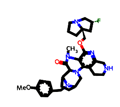 COc1ccc(CN2C3CCC2C2C(=O)N(C)c4c(OC[C@@]56CCCN5C[C@H](F)C6)nc5c(c4N2C3)CCNC5)cc1